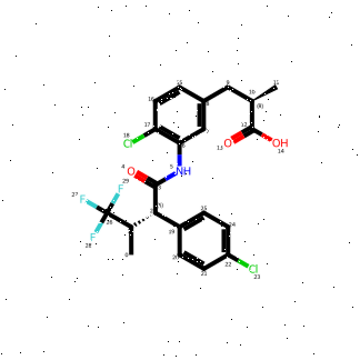 CC([C@H](C(=O)Nc1cc(C[C@@H](C)C(=O)O)ccc1Cl)c1ccc(Cl)cc1)C(F)(F)F